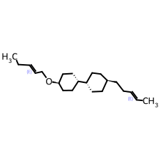 C/C=C/CC[C@H]1CC[C@H]([C@H]2CC[C@H](OC/C=C/CC)CC2)CC1